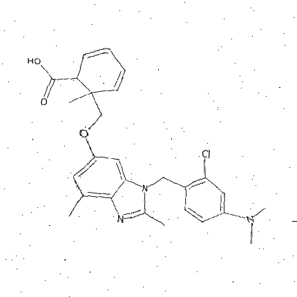 Cc1cc(OCC2(C)C=CC=CC2C(=O)O)cc2c1nc(C)n2Cc1ccc(N(C)C)cc1Cl